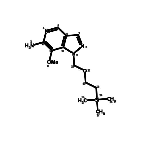 COc1c(N)ncc2cnn(COCC[Si](C)(C)C)c12